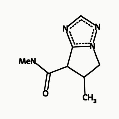 CNC(=O)C1c2ncnn2CC1C